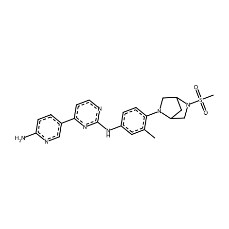 Cc1cc(Nc2nccc(-c3ccc(N)nc3)n2)ccc1N1CC2CC1CN2S(C)(=O)=O